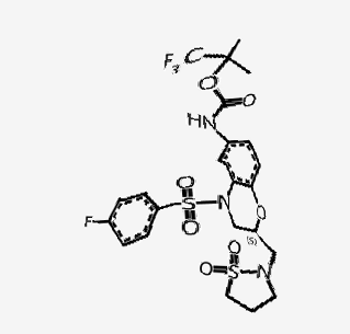 CC(C)(OC(=O)Nc1ccc2c(c1)N(S(=O)(=O)c1ccc(F)cc1)C[C@H](CN1CCCS1(=O)=O)O2)C(F)(F)F